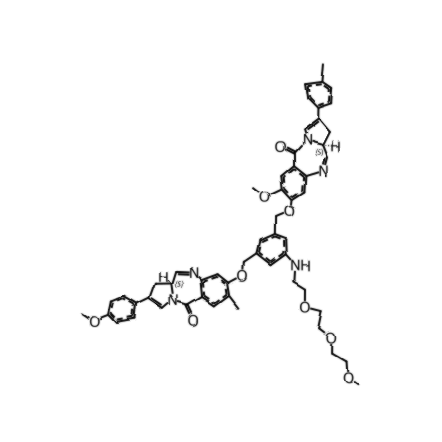 COCCOCCOCCNc1cc(COc2cc3c(cc2C)C(=O)N2C=C(c4ccc(OC)cc4)C[C@H]2C=N3)cc(COc2cc3c(cc2OC)C(=O)N2C=C(c4ccc(C)cc4)C[C@H]2C=N3)c1